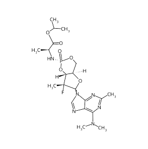 Cc1nc(N(C)C)c2ncn([C@@H]3O[C@@H]4CO[P@@](=O)(N[C@@H](C)C(=O)OC(C)C)O[C@H]4[C@@]3(C)F)c2n1